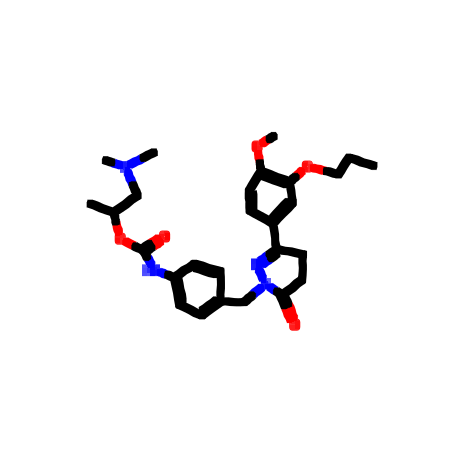 CCCOc1cc(C2=NN(Cc3ccc(NC(=O)OC(C)CN(C)C)cc3)C(=O)CC2)ccc1OC